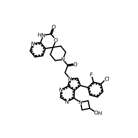 O=C1Nc2ncccc2C2(CCN(C(=O)Cn3cc(-c4cccc(Cl)c4F)c4c(N5CC(O)C5)ncnc43)CC2)O1